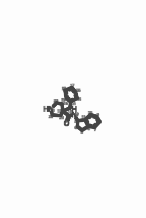 O=C(NC1CCc2ccccc21)C1(Cc2ccccc2)CCNCC1